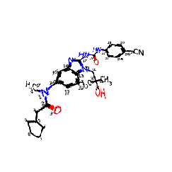 CN(C(=O)CC1CCCC1)c1ccc2c(c1)nc(NC(=O)Nc1ccc(C#N)cc1)n2CC(C)(C)O